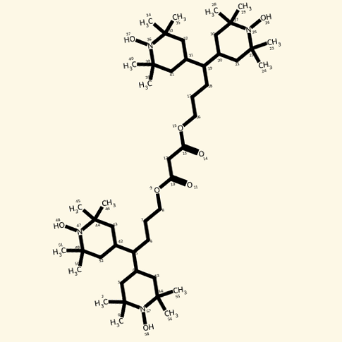 CC1(C)CC(C(CCCOC(=O)CC(=O)OCCCC(C2CC(C)(C)N(O)C(C)(C)C2)C2CC(C)(C)N(O)C(C)(C)C2)C2CC(C)(C)N(O)C(C)(C)C2)CC(C)(C)N1O